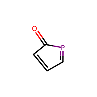 O=C1C=CC=P1